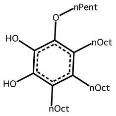 CCCCCCCCc1c(O)c(O)c(OCCCCC)c(CCCCCCCC)c1CCCCCCCC